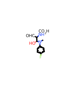 CN(c1ccc(F)cc1)[C@@H](O)C(C=O)NC(=O)O